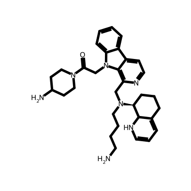 NCCCCN(Cc1nccc2c3ccccc3n(CC(=O)N3CCC(N)CC3)c12)[C@H]1CCCC2=CC=CNC21